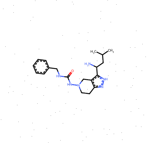 CC(C)CC(N)c1[nH]nc2c1CN(NC(=O)NCc1ccccc1)CC2